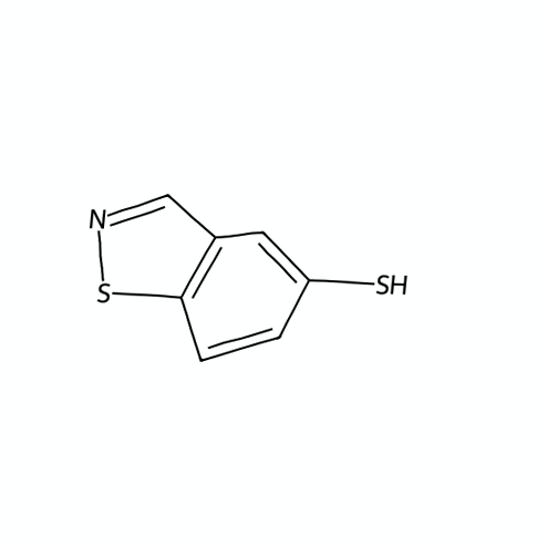 Sc1ccc2sncc2c1